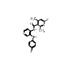 Cc1cc(Cl)nc(C)c1C(=O)Nc1ccncc1Nc1ccc(F)cc1